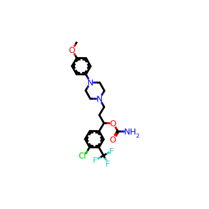 COc1ccc(N2CCN(CCC(OC(N)=O)c3ccc(Cl)c(C(F)(F)F)c3)CC2)cc1